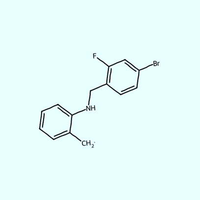 [CH2]c1ccccc1NCc1ccc(Br)cc1F